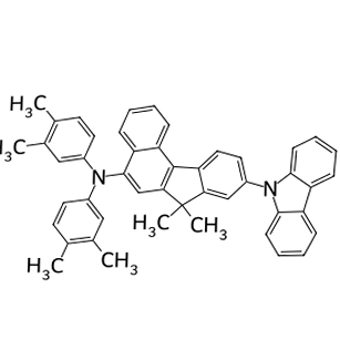 Cc1ccc(N(c2ccc(C)c(C)c2)c2cc3c(c4ccccc24)-c2ccc(-n4c5ccccc5c5ccccc54)cc2C3(C)C)cc1C